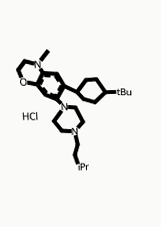 CC(C)CCN1CCN(c2cc3c(cc2C2CCC(C(C)(C)C)CC2)N(C)CCO3)CC1.Cl